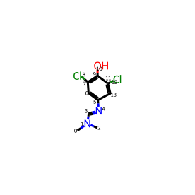 CN(C)C=Nc1cc(Cl)c(O)c(Cl)c1